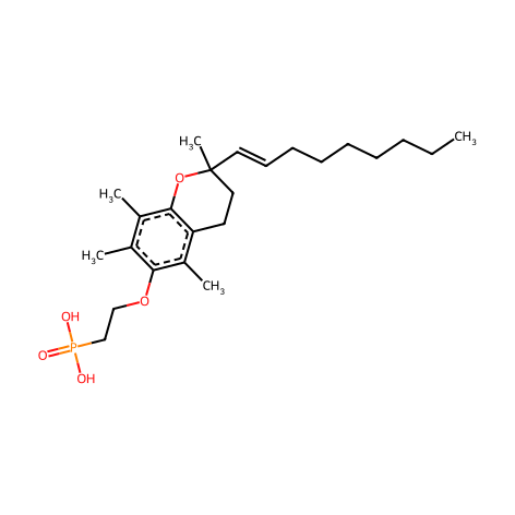 CCCCCCCC=CC1(C)CCc2c(C)c(OCCP(=O)(O)O)c(C)c(C)c2O1